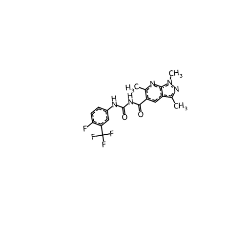 Cc1nc2c(cc1C(=O)NC(=O)Nc1ccc(F)c(C(F)(F)F)c1)c(C)nn2C